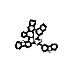 c1ccc2c(c1)-c1cc3ccccc3cc1CCC2c1c(-c2nc(-c3ccc4ccccc4c3)nc(-c3ccc4sc5ccccc5c4c3)n2)ccc2c1oc1ccccc12